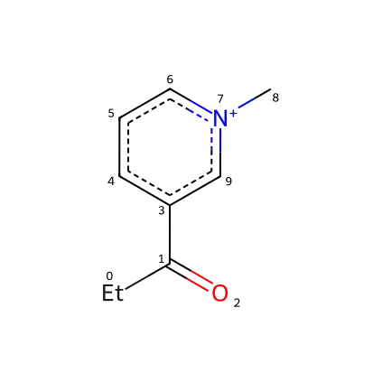 CCC(=O)c1ccc[n+](C)c1